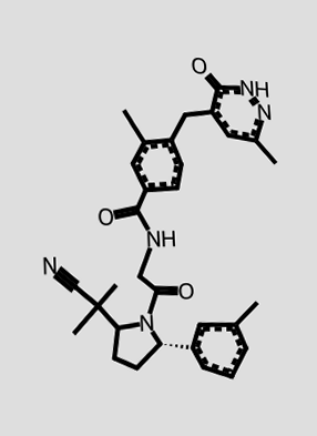 Cc1cccc([C@@H]2CCC(C(C)(C)C#N)N2C(=O)CNC(=O)c2ccc(Cc3cc(C)n[nH]c3=O)c(C)c2)c1